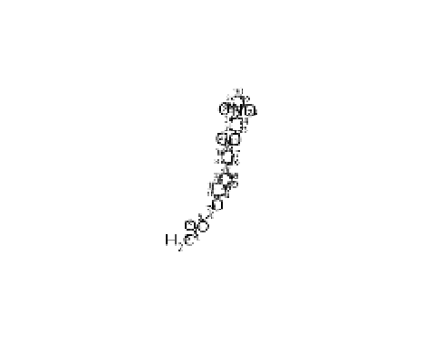 C=CC(=O)OCCCOc1ccc2cc(-c3ccc(C(=O)Oc4ccc(N5C(=O)C=CCC5=O)cc4)cc3)ccc2c1